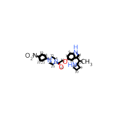 CC(c1c[nH]c2ccc(OCC(=O)N3CCN(c4ccc([N+](=O)[O-])cc4)CC3)cc12)C1CCCN1